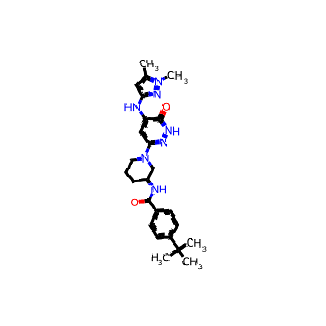 Cc1cc(Nc2cc(N3CCCC(NC(=O)c4ccc(C(C)(C)C)cc4)C3)n[nH]c2=O)nn1C